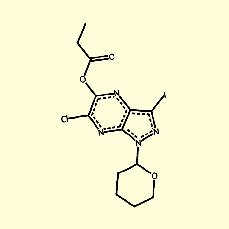 CCC(=O)Oc1nc2c(I)nn(C3CCCCO3)c2nc1Cl